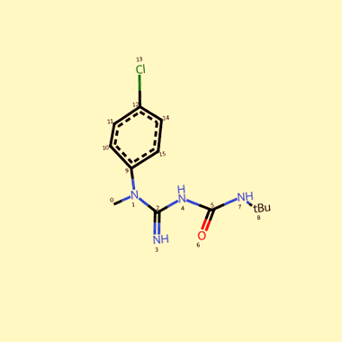 CN(C(=N)NC(=O)NC(C)(C)C)c1ccc(Cl)cc1